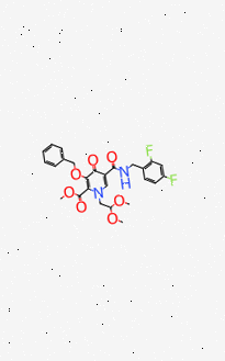 COC(=O)c1c(OCc2ccccc2)c(=O)c(C(=O)NCc2ccc(F)cc2F)cn1CC(OC)OC